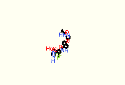 O=C(Nc1ccc(C2CNCCN2C(=O)O)c(C(F)(F)F)c1)c1cccc2c(Oc3ccnc(NC(=O)C4CC4)c3)cccc12